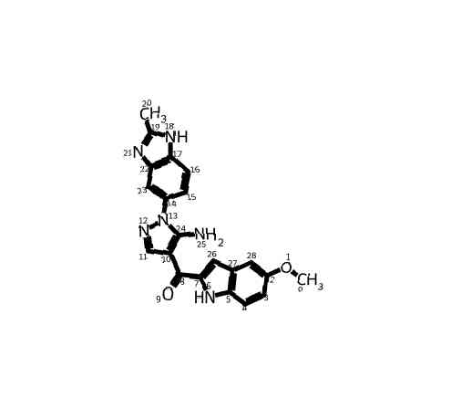 COc1ccc2[nH]c(C(=O)c3cnn(-c4ccc5[nH]c(C)nc5c4)c3N)cc2c1